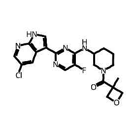 CC1(C(=O)N2CCCC(Nc3nc(-c4c[nH]c5ncc(Cl)cc45)ncc3F)C2)COC1